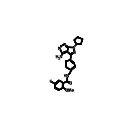 COc1ccc(F)cc1C(=O)NCC1=CC=C(c2nn(C3CCCC3)c3ncnc(N)c23)CC1